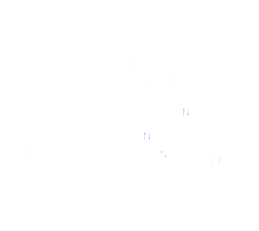 Cc1nc(C(F)(F)F)n(-c2ccc(Cl)cc2)n1